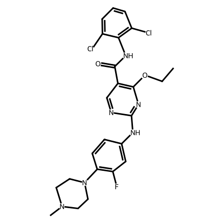 CCOc1nc(Nc2ccc(N3CCN(C)CC3)c(F)c2)ncc1C(=O)Nc1c(Cl)cccc1Cl